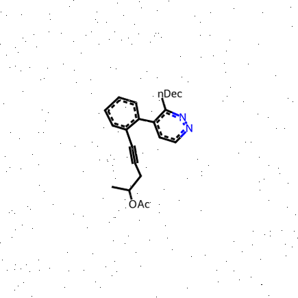 CCCCCCCCCCc1nnccc1-c1ccccc1C#CCC(C)OC(C)=O